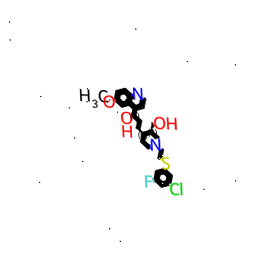 COc1ccc2nccc([C@@H](O)CC[C@@H]3CCN(CCSc4cc(F)cc(Cl)c4)C[C@@H]3CO)c2c1